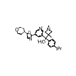 CC(C)c1ccc(C(O)(c2cncc(-c3ncc(C4CCOCC4)o3)c2)C2(C)CN(C)C2)cc1